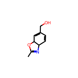 CC1=NC2C=CC(CO)=CC2O1